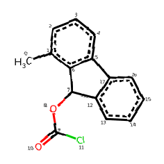 Cc1cccc2c1C(OC(=O)Cl)c1ccccc1-2